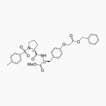 COC(=O)[C@H](Cc1ccc(OCC(=O)OCc2ccccc2)cc1)NC(=O)[C@@H]1CCCN1S(=O)(=O)c1ccc(C)cc1